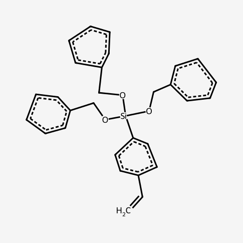 C=Cc1ccc([Si](OCc2ccccc2)(OCc2ccccc2)OCc2ccccc2)cc1